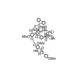 COc1ccc(C2=CN3C(=O)c4cc(OC)c(OCCCOc5cc6c(cc5OC)C(=O)N5CC7(CC7)C[C@H]5C(O)N6C(=O)OCc5ccc(NC(=O)[C@H](CC(C)C)NC(=O)[C@@H]6CCCN6C(=O)CNC(=O)CNC(=O)OC6c7ccccc7-c7ccccc76)cc5)cc4NC[C@@H]3C2)cc1